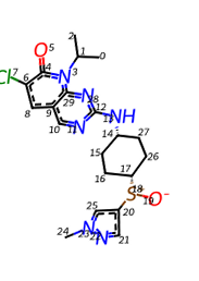 CC(C)n1c(=O)c(Cl)cc2cnc(N[C@H]3CC[C@@H]([S+]([O-])c4cnn(C)c4)CC3)nc21